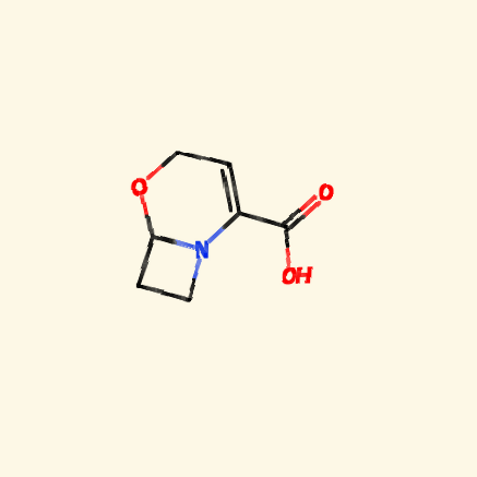 O=C(O)C1=CCOC2CCN12